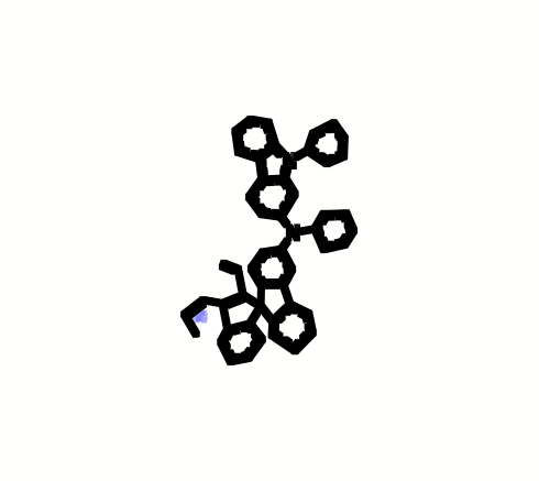 C=CC1=C(/C=C\C)c2ccccc2C12c1ccccc1-c1cc(N(c3ccccc3)c3ccc4c5ccccc5n(-c5ccccc5)c4c3)ccc12